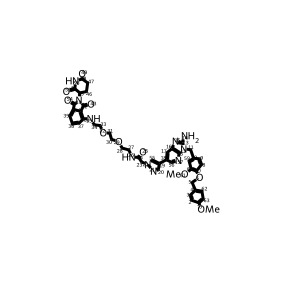 COc1ccc(COc2ccc(Cn3c(N)nc4cc(-c5cnn(CC(=O)NCCOCCOCCNc6cccc7c6C(=O)N(C6CCC(=O)NC6=O)C7=O)c5)cnc43)cc2OC)cc1